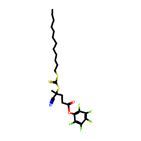 CCCCCCCCCCCCSC(=S)SC(C)(C#N)CCC(=O)Oc1c(F)c(F)c(F)c(F)c1F